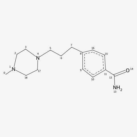 CN1CCN(CCCc2ccc(C(N)=O)cc2)CC1